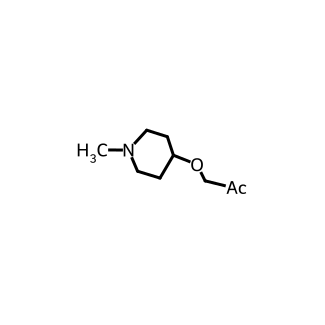 CC(=O)COC1CCN(C)CC1